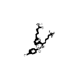 O=C(O)CCCc1ccc(C(CCCCC(F)(F)F)NS(=O)(=O)c2ccc(Cl)cc2)s1